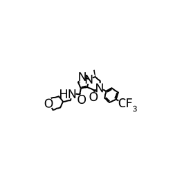 C[C@H]1CN(c2ccc(C(F)(F)F)cc2)C(=O)c2c(C(=O)NCC3CCOCC3)cnn21